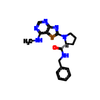 CNc1ncnc2nc(N3CCC[C@@H]3C(=O)NCc3ccccc3)sc12